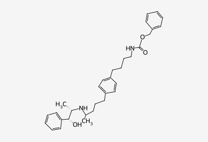 CC(CCCc1ccc(CCCCNC(=O)OCc2ccccc2)cc1)N[C@@H](C)[C@H](O)c1ccccc1